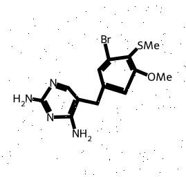 COc1cc(Cc2cnc(N)nc2N)cc(Br)c1SC